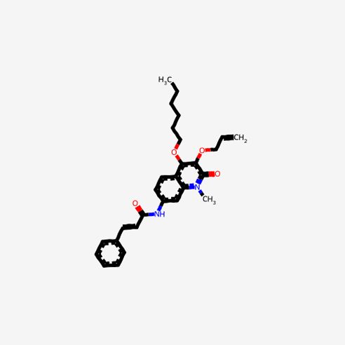 C=CCOc1c(OCCCCCC)c2ccc(NC(=O)C=Cc3ccccc3)cc2n(C)c1=O